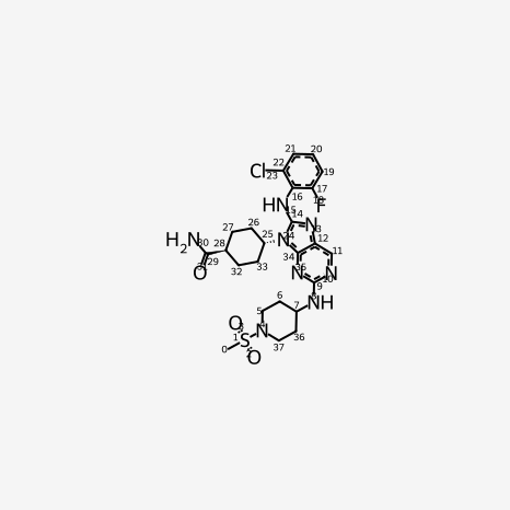 CS(=O)(=O)N1CCC(Nc2ncc3nc(Nc4c(F)cccc4Cl)n([C@H]4CC[C@H](C(N)=O)CC4)c3n2)CC1